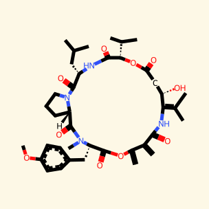 C=C1OC(=O)[C@H](Cc2ccc(OC)cc2)N(C)C(=O)[C@@H]2CCCN2C(=O)[C@H](CC(C)C)NC(=O)[C@H](C(C)C)OC(=O)C[C@H](O)C(=C(C)C)NC(=O)C1=C